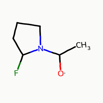 CC([O])N1CCCC1F